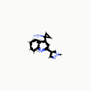 Cn1cc(-c2cc(C3(N)CC3)c3ccccc3n2)cn1